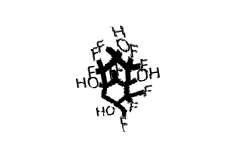 OC1(CF)CC2(O)C(F)(F)C(O)(F)C(F)(F)C(O)(C1(F)F)C2(F)F